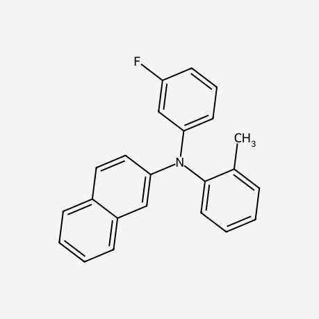 Cc1ccccc1N(c1cccc(F)c1)c1ccc2ccccc2c1